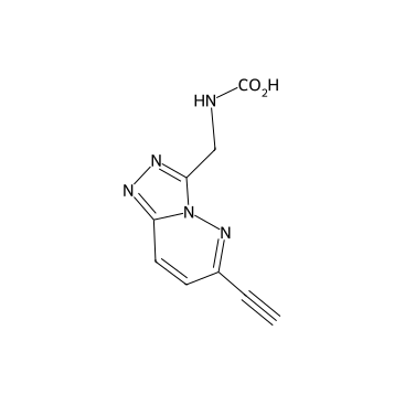 C#Cc1ccc2nnc(CNC(=O)O)n2n1